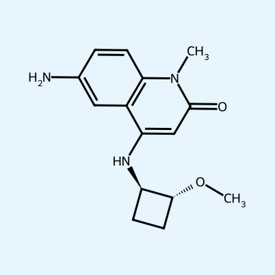 CO[C@@H]1CC[C@H]1Nc1cc(=O)n(C)c2ccc(N)cc12